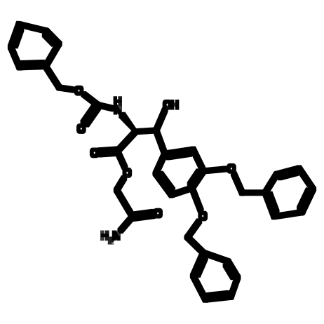 NC(=O)COC(=O)[C@@H](NC(=O)OCc1ccccc1)C(O)c1ccc(OCc2ccccc2)c(OCc2ccccc2)c1